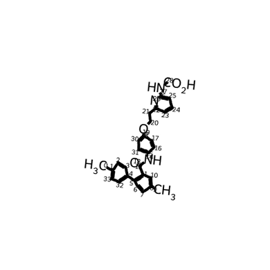 Cc1ccc(-c2ccc(C)cc2C(=O)Nc2ccc(OCCc3cccc(NC(=O)O)n3)cc2)cc1